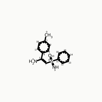 Cc1ccc(/C(N)=C\S(=N)(=O)c2ccccc2)cc1